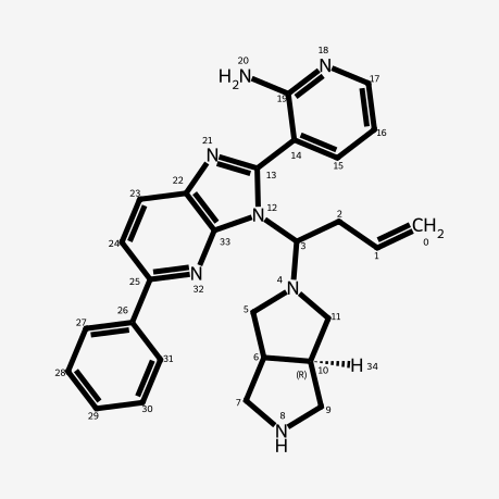 C=CCC(N1CC2CNC[C@@H]2C1)n1c(-c2cccnc2N)nc2ccc(-c3ccccc3)nc21